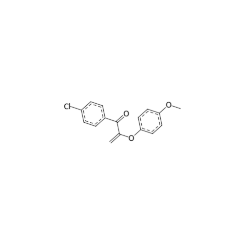 C=C(Oc1ccc(OC)cc1)C(=O)c1ccc(Cl)cc1